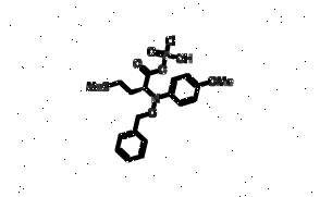 COc1ccc(N(OCc2ccccc2)[C@@H](CCSC)C(=O)OP(=O)(O)Cl)cc1